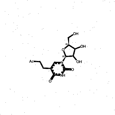 CC(=O)CCc1cn([C@H]2O[C@@H](CO)C(O)C2O)c(=O)[nH]c1=O